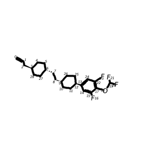 C=CC[C@H]1CC[C@H](CC[C@H]2CC[C@H](c3cc(F)c(OC(F)F)c(F)c3)CC2)CC1